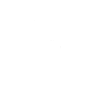 O=C(Nc1ccc2c(c1)B(O)OC2)c1ccccc1Cl